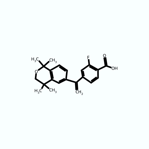 C=C(c1ccc(C(=O)O)c(F)c1)c1ccc2c(c1)C(C)(C)COC2(C)C